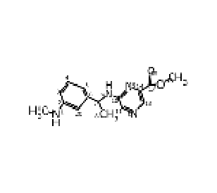 CNc1cccc(C(C)Nc2cncc(C(=O)OC)n2)c1